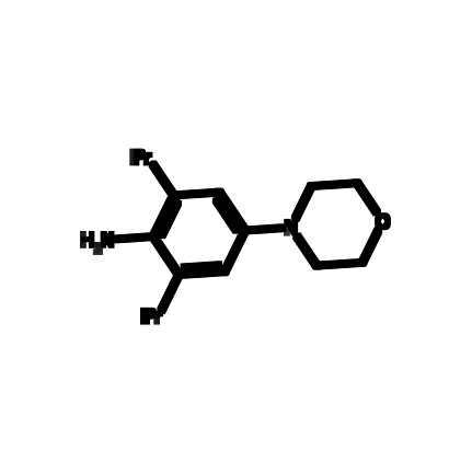 CC(C)c1cc(N2CCOCC2)cc(C(C)C)c1N